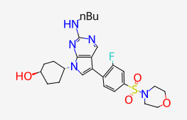 CCCCNc1ncc2c(-c3ccc(S(=O)(=O)N4CCOCC4)cc3F)cn([C@H]3CC[C@H](O)CC3)c2n1